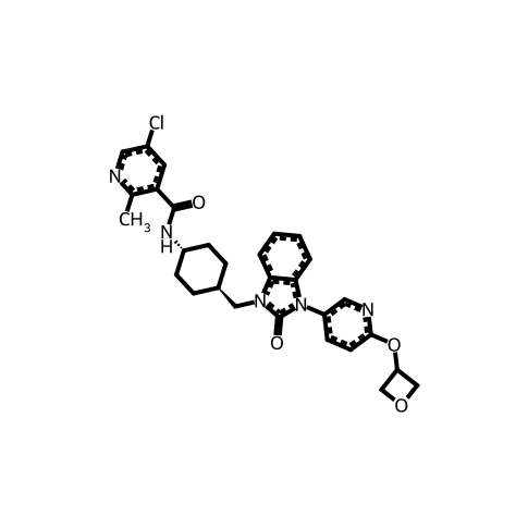 Cc1ncc(Cl)cc1C(=O)N[C@H]1CC[C@H](Cn2c(=O)n(-c3ccc(OC4COC4)nc3)c3ccccc32)CC1